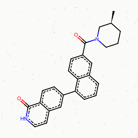 C[C@H]1CCCN(C(=O)c2ccc3c(-c4ccc5c(=O)[nH]ccc5c4)cccc3c2)C1